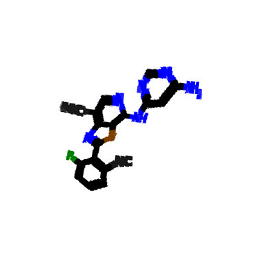 [C-]#[N+]c1cccc(F)c1-c1nc2c(C#N)cnc(Nc3cc(N)ncn3)c2s1